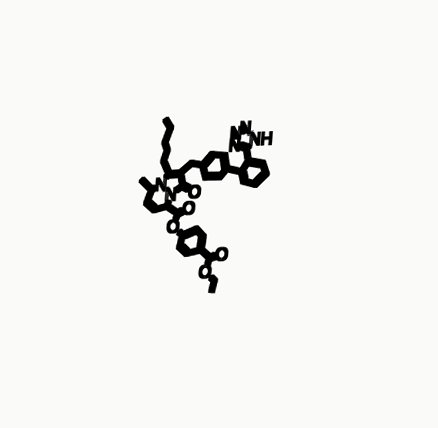 CCCCCc1c(Cc2ccc(-c3ccccc3-c3nnn[nH]3)cc2)c(=O)n2n1C(C)C=CC2C(=O)Oc1ccc(C(=O)OCC)cc1